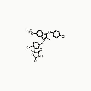 Cc1c(Oc2ccc(Cl)cc2)c2ccc(OC(F)(F)F)cc2n1Cc1ccc(Cl)c([C@@]2(C)OC(=O)NC2=O)c1